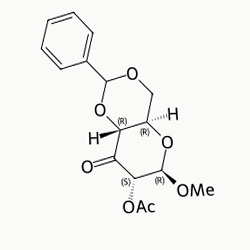 CO[C@@H]1O[C@@H]2COC(c3ccccc3)O[C@H]2C(=O)[C@H]1OC(C)=O